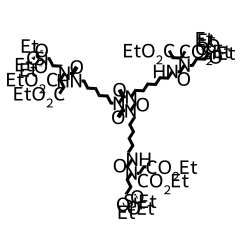 CCOC(=O)CC(C(=O)OCC)N(CCC[Si](OCC)(OCC)OCC)C(=O)NCCCCCCn1c(=O)n(CCCCCCNC(=O)N(CCC[Si](OCC)(OCC)OCC)C(CC(=O)OCC)C(=O)OCC)c(=O)n(CCCCCCNC(=O)N(CCC[Si](OCC)(OCC)OCC)C(CC(=O)OCC)C(=O)OCC)c1=O